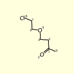 CC(=O)CCOCCCl